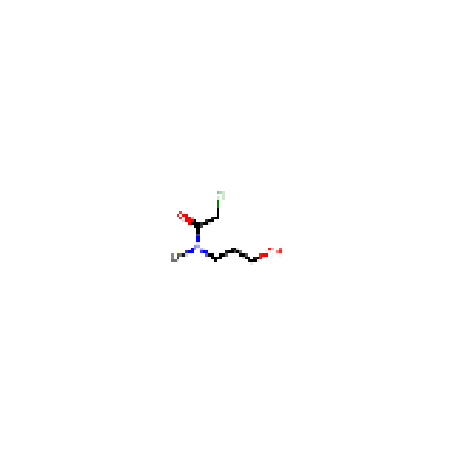 CCN(CCCO)C(=O)CCl